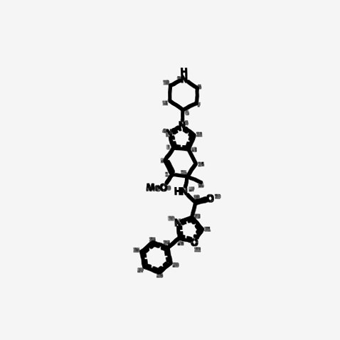 COC1=Cc2nn(C3CCNCC3)cc2CC1(C)NC(=O)c1coc(-c2ccccc2)n1